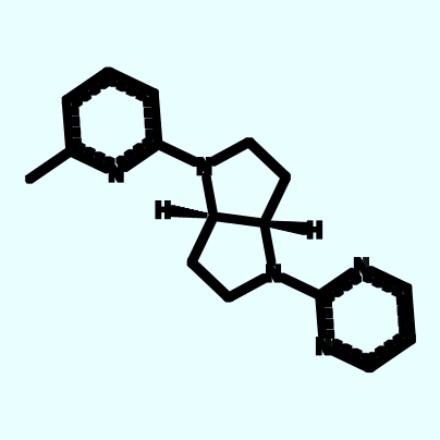 Cc1cccc(N2CC[C@H]3[C@H]2CCN3c2ncccn2)n1